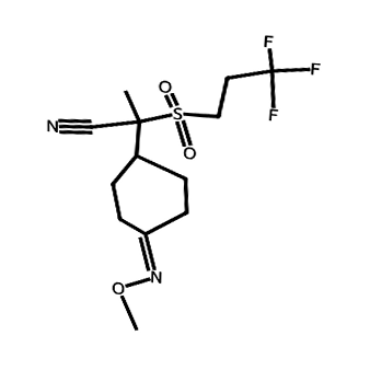 CON=C1CCC(C(C)(C#N)S(=O)(=O)CCC(F)(F)F)CC1